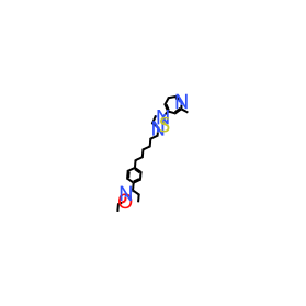 CCO/N=C(\CC)c1ccc(CCCCCCN2CCN(C3=CCC=NC(C)=C3)S2)cc1